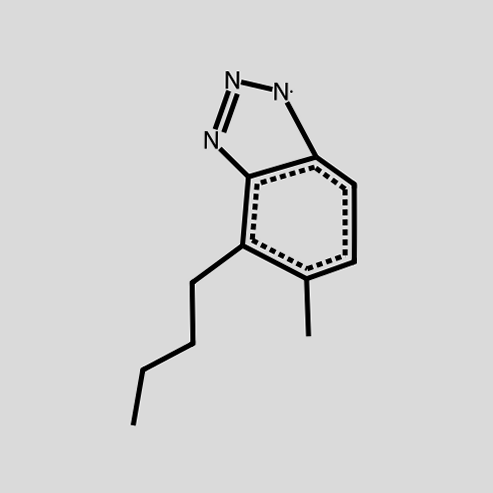 CCCCc1c(C)ccc2c1N=N[N]2